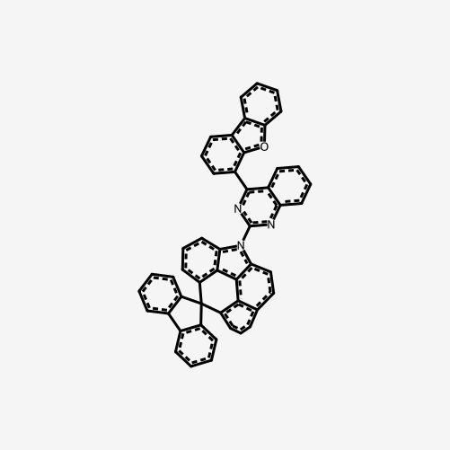 c1ccc2c(c1)-c1ccccc1C21c2cccc3ccc4c(c23)c2c1cccc2n4-c1nc(-c2cccc3c2oc2ccccc23)c2ccccc2n1